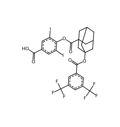 O=C(O)c1cc(I)c(OC(=O)C23CC4CC(CC(OC(=O)c5cc(C(F)(F)F)cc(C(F)(F)F)c5)(C4)C2)C3)c(I)c1